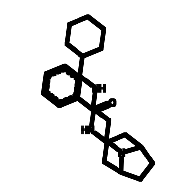 O=C(NC1CC2CCC(C1)N2CCCNCC1CCCCC1)c1ccccc1